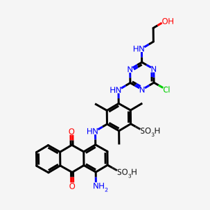 Cc1c(Nc2nc(Cl)nc(NCCO)n2)c(C)c(S(=O)(=O)O)c(C)c1Nc1cc(S(=O)(=O)O)c(N)c2c1C(=O)c1ccccc1C2=O